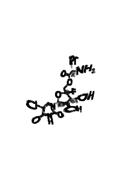 CC(C)[C@H](N)C(=O)OC[C@@]1(F)O[C@@H](n2cc(Cl)c(=O)[nH]c2=O)[C@H](O)[C@@H]1O